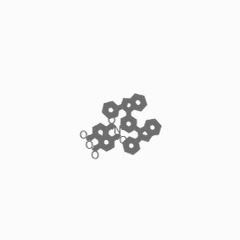 O=C1OC(=O)c2ccc3c4c(ccc1c24)C(=O)N(c1cc(C2C(c4ccccc4)=Cc4ccccc42)cc(C2C(c4ccccc4)=Cc4ccccc42)c1)C3=O